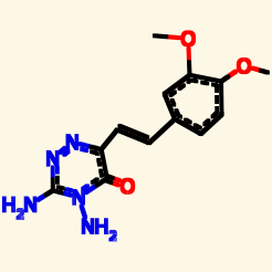 COc1ccc(C=Cc2nnc(N)n(N)c2=O)cc1OC